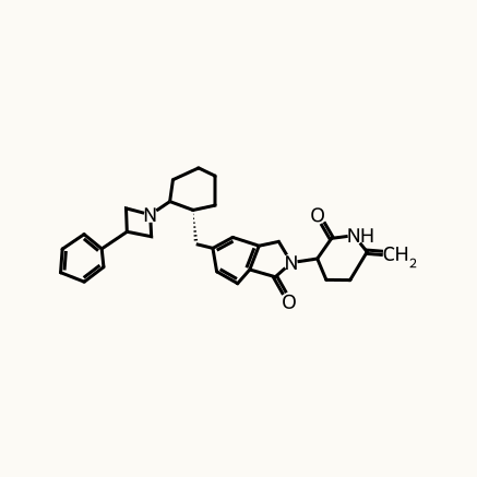 C=C1CCC(N2Cc3cc(C[C@H]4CCCCC4N4CC(c5ccccc5)C4)ccc3C2=O)C(=O)N1